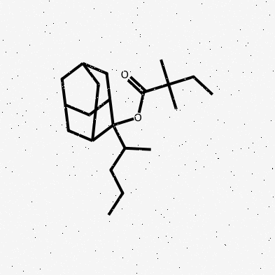 CCCC(C)C1(OC(=O)C(C)(C)CC)C2CC3CC(C2)CC1C3